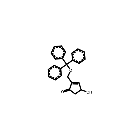 O=C1CC(O)C=C1COC(c1ccccc1)(c1ccccc1)c1ccccc1